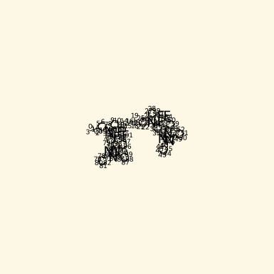 CC(C)(C)c1ccc2c3ccc(C(C)(C)CCC(C)(C)c4ccc5c(c4)c4ccccc4n5-c4ccc(-c5nc(-c6ccccc6)nc(-c6ccccc6)n5)c(-c5ccccc5C(F)(F)F)c4)cc3n(-c3ccc(-c4nc(-c5ccccc5)nc(-c5ccccc5)n4)c(-c4ccccc4C(F)(F)F)c3)c2c1